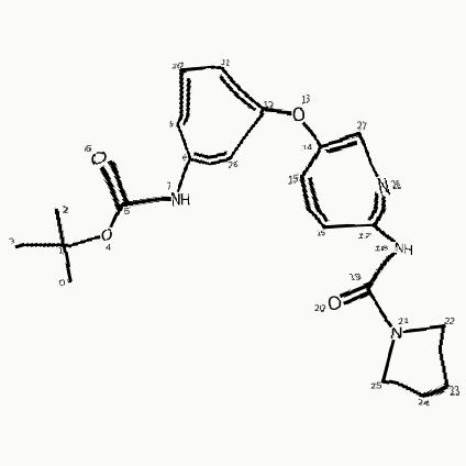 CC(C)(C)OC(=O)Nc1cccc(Oc2ccc(NC(=O)N3CCCC3)nc2)c1